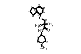 CN1CCC(NC(=O)C(C)(C)COc2cccc3c2CCC3)CC1